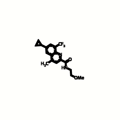 COCCNC(=O)c1cc(C)c2cc(C3CC3)cc(C(F)(F)F)c2n1